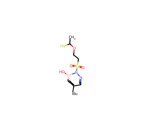 CC(S)OCCS(=O)(=O)N1N=CC(C(C)(C)C)=CB1O